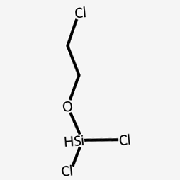 ClCCO[SiH](Cl)Cl